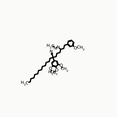 CCCCCCCCCCCCCC(C#N)(CCCC(CCc1cccc(OC)c1)N=NC)c1cc(OC)c(OC)c(OC)c1